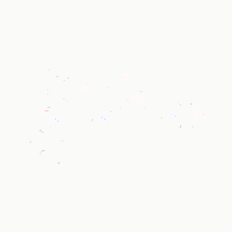 COc1cc2c(Oc3cc(C(=O)Nc4cccc(C)c4)c4ccccc4c3)ccnc2cc1OCCCN1CCOCC1